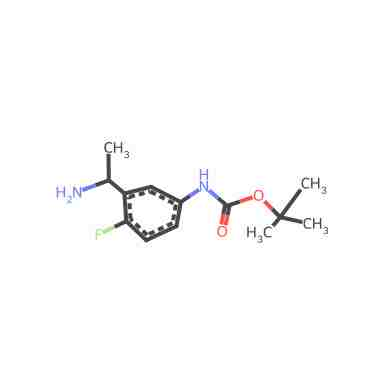 CC(N)c1cc(NC(=O)OC(C)(C)C)ccc1F